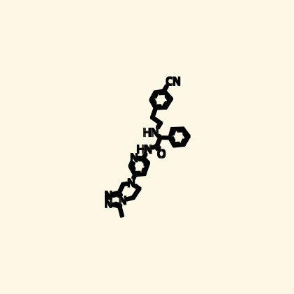 Cc1nnc2n1CCN(c1ccc(NC(=O)C(NCCc3ccc(C#N)cc3)c3ccccc3)nc1)C2